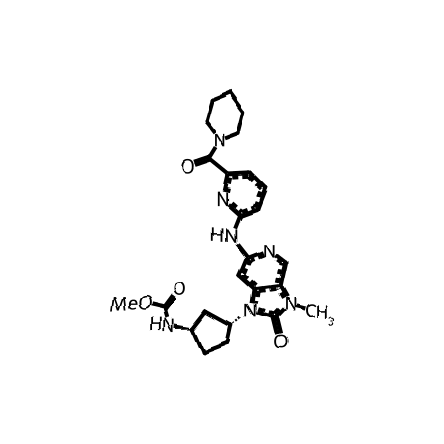 COC(=O)N[C@@H]1CC[C@@H](n2c(=O)n(C)c3cnc(Nc4cccc(C(=O)N5CCCCC5)n4)cc32)C1